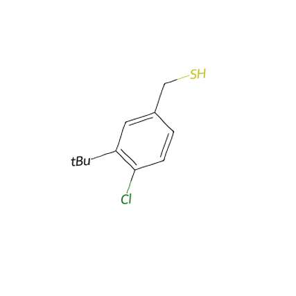 CC(C)(C)c1cc(CS)ccc1Cl